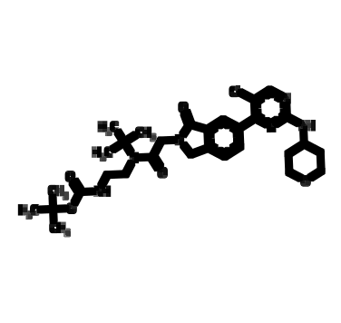 CC(C)(C)OC(=O)NCCN(C(=O)CN1Cc2ccc(-c3nc(NC4CCOCC4)ncc3Cl)cc2C1=O)C(C)(C)C